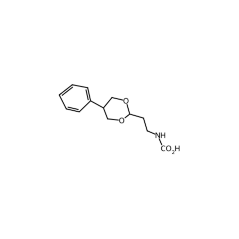 O=C(O)NCCC1OCC(c2ccccc2)CO1